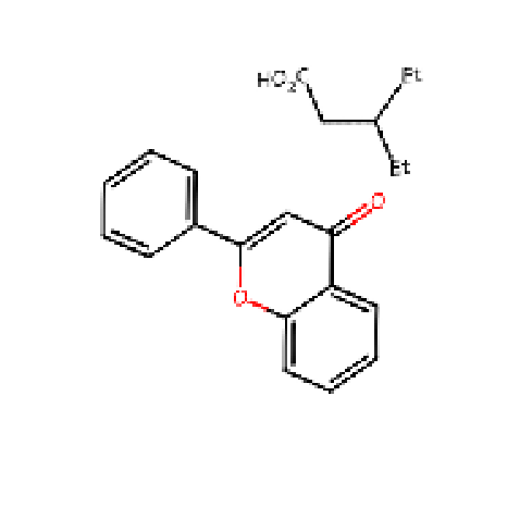 CCC(CC)CC(=O)O.O=c1cc(-c2ccccc2)oc2ccccc12